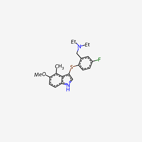 CCN(CC)Cc1cc(F)ccc1Sc1c[nH]c2ccc(OC)c(C)c12